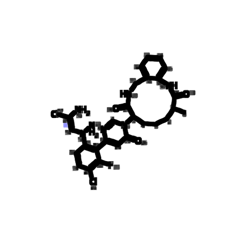 CC1CCCC(n2cnc(-c3c(N(N)/C=C(\N)Cl)ccc(Cl)c3F)cc2=O)C(=O)NCc2ccccc2NC1=O